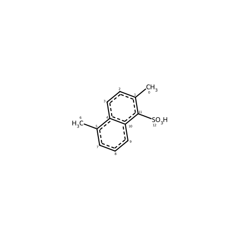 Cc1ccc2c(C)cccc2c1S(=O)(=O)O